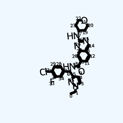 CCn1ccc([C@H](NC(=O)c2ccc3cnc(NC4CCOCC4)nc3c2)c2ccc(Cl)c(F)c2)n1